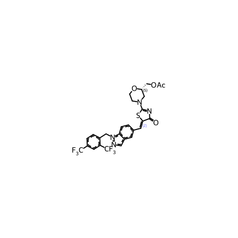 CC(=O)OC[C@@H]1CN(C2=NC(=O)/C(=C/c3ccc4c(cnn4Cc4ccc(C(F)(F)F)cc4C(F)(F)F)c3)S2)CCO1